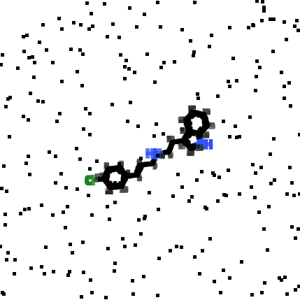 Clc1ccc(/C=C/CNCCc2c[nH]c3ccccc23)cc1